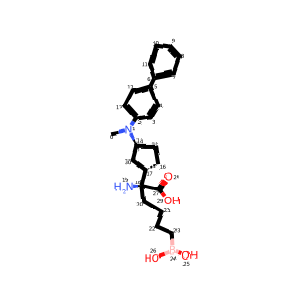 CN(c1ccc(-c2ccccc2)cc1)[C@H]1CC[C@H]([C@@](N)(CCCCB(O)O)C(=O)O)C1